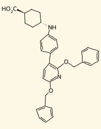 O=C(O)[C@H]1CC[C@H](Nc2ccc(-c3ccc(OCc4ccccc4)nc3OCc3ccccc3)cc2)CC1